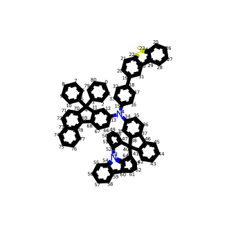 c1ccc(C2(c3ccccc3)c3cc(N(c4ccc(-c5ccc6sc7ccccc7c6c5)cc4)c4ccc5c(c4)C4(c6ccccc6-5)c5ccccc5-n5c6ccccc6c6cccc4c65)ccc3-c3c2ccc2ccccc32)cc1